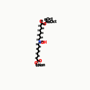 CCCCCCCCCOC(=O)CCCCCCCN(O)CCCCCCCC(=O)OC(CCCCCCCC)CCCCCCCC